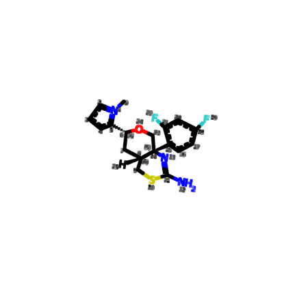 Cn1cccc1[C@H]1C[C@H]2CSC(N)=N[C@@]2(c2ccc(F)cc2F)CO1